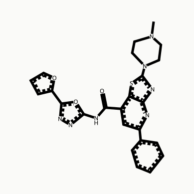 CN1CCN(c2nc3nc(-c4ccccc4)cc(C(=O)Nc4nnc(-c5ccco5)o4)c3s2)CC1